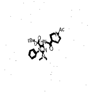 CC(=O)N1CCC(C(=O)Nc2nc(N(C)C)n(-c3ccccc3)c2C(=O)OC(C)(C)C)CC1